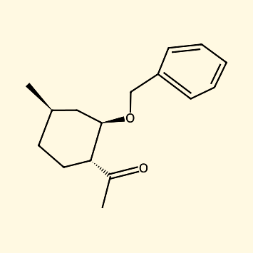 CC(=O)[C@@H]1CC[C@@H](C)C[C@H]1OCc1ccccc1